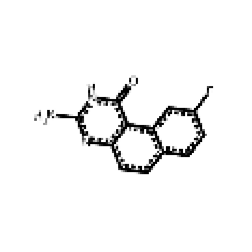 Nc1nc2ccc3ccc(F)cc3c2c(=O)[nH]1